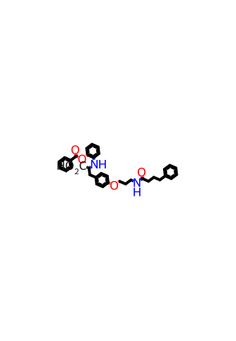 O=C(CCCc1ccccc1)NCCCOc1ccc(CC(Nc2ccccc2OC(=O)c2ccccc2)C(=O)O)cc1